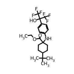 CCOC(=O)C1(Nc2ccc(C(O)(C(F)(F)F)C(F)(F)F)cc2)CCC(C(C)(C)C)CC1